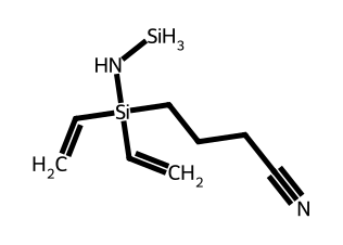 C=C[Si](C=C)(CCCC#N)N[SiH3]